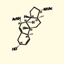 CC(=O)N[C@H]1C=C2C[C@@H](O)C=C[C@]2(C)[C@H]2CC[C@]3(C)[C@@H](NC(C)=O)CC[C@H]3[C@H]12